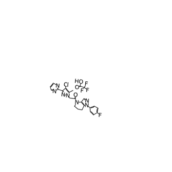 Cc1c(Cl)c(-c2ncccn2)nn1CC(=O)N1CCCc2c1cnn2-c1ccc(F)cc1.O=C(O)C(F)(F)F